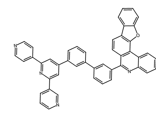 c1cc(-c2cccc(-c3nc4ccccc4c4c3ccc3c5ccccc5oc34)c2)cc(-c2cc(-c3ccncc3)nc(-c3cccnc3)c2)c1